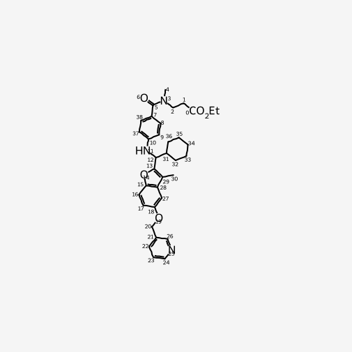 CCOC(=O)CCN(C)C(=O)c1ccc(NC(c2oc3ccc(OCc4cccnc4)cc3c2C)C2CCCCC2)cc1